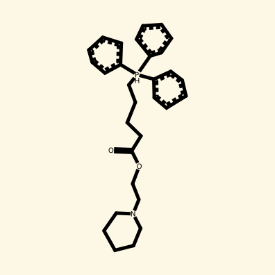 O=C(CCCC[PH](c1ccccc1)(c1ccccc1)c1ccccc1)OCCN1CCCCC1